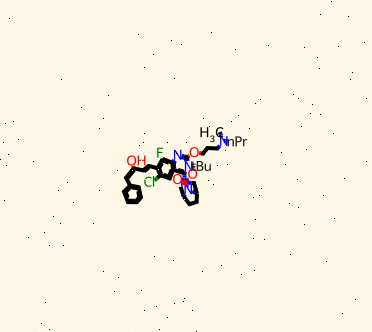 CCCN(C)CCCOc1nc(N2CC3CCC(C2)N3C(=O)OC(C)(C)C)c2cc(Cl)c(/C=C/C(O)=C\c3ccccc3)c(F)c2n1